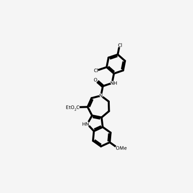 CCOC(=O)C1=CN(C(=O)Nc2ccc(Cl)cc2Cl)CCc2c1[nH]c1ccc(OC)cc21